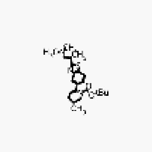 CC(CN(C)C)c1nc2cc(C3=CC[C@H](C)CN3C(=O)OC(C)(C)C)ccc2s1